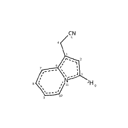 [2H]c1cc(CC#N)c2ccccn12